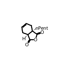 CCCCC[C@@]12CC=CC[C@@H]1C(=O)OC2=O